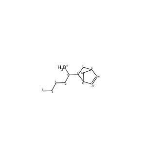 BC(CCCC)C1CC2C=CC1C2